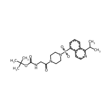 CC(C)c1nccc2c(S(=O)(=O)N3CCN(C(=O)CNC(=O)OC(C)(C)C)CC3)cccc12